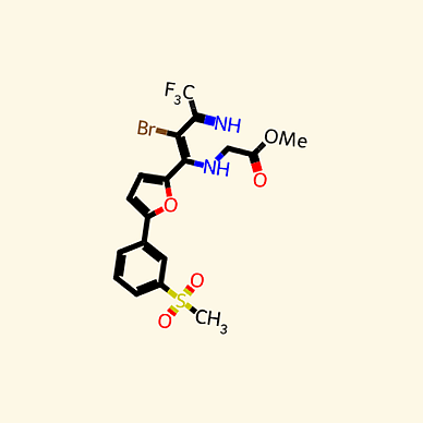 COC(=O)CN/C(=C(/Br)C(=N)C(F)(F)F)c1ccc(-c2cccc(S(C)(=O)=O)c2)o1